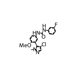 COc1ccc(NC(=O)Nc2cccc(F)c2)cc1-c1c(Cl)cnn1C